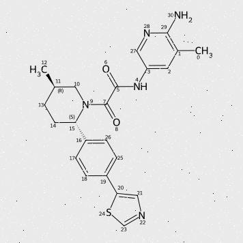 Cc1cc(NC(=O)C(=O)N2C[C@H](C)CC[C@H]2c2ccc(-c3cncs3)cc2)cnc1N